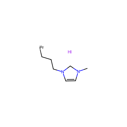 CC(C)CCCN1C=CN(C)C1.I